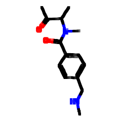 CNCc1ccc(C(=O)N(C)C(C)C(C)=O)cc1